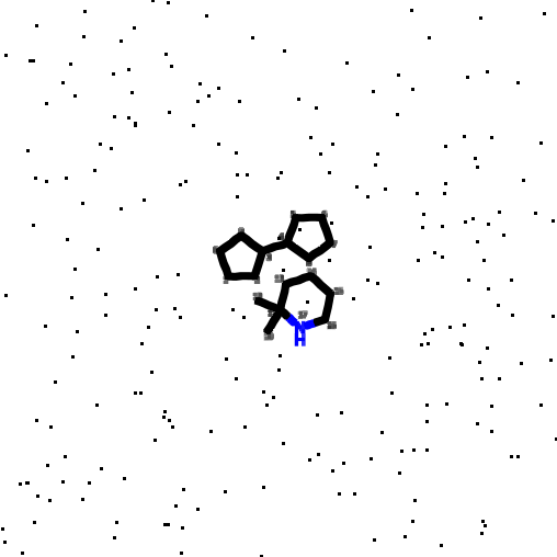 C1CCC(C2CCCC2)C1.CC1(C)CCCCN1